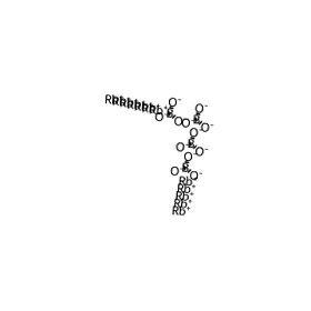 [O-]B([O-])[O-].[O-]B([O-])[O-].[O-]B([O-])[O-].[O-]B([O-])[O-].[Rb+].[Rb+].[Rb+].[Rb+].[Rb+].[Rb+].[Rb+].[Rb+].[Rb+].[Rb+].[Rb+].[Rb+]